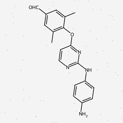 Cc1cc(C=O)cc(C)c1Oc1ccnc(Nc2ccc(N)cc2)n1